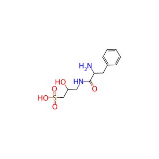 NC(Cc1ccccc1)C(=O)NCC(O)CS(=O)(=O)O